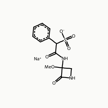 COC1(NC(=O)C(c2ccccc2)S(=O)(=O)[O-])CNC1=O.[Na+]